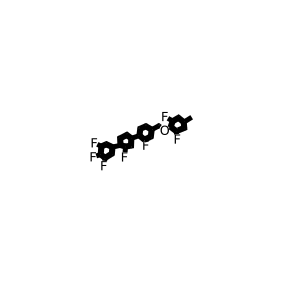 Cc1cc(F)c(OCc2ccc(-c3ccc(-c4cc(F)c(F)c(F)c4)c(F)c3)c(F)c2)c(F)c1